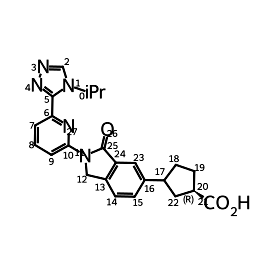 CC(C)n1cnnc1-c1cccc(N2Cc3ccc(C4CC[C@@H](C(=O)O)C4)cc3C2=O)n1